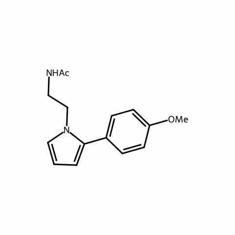 COc1ccc(-c2cccn2CCNC(C)=O)cc1